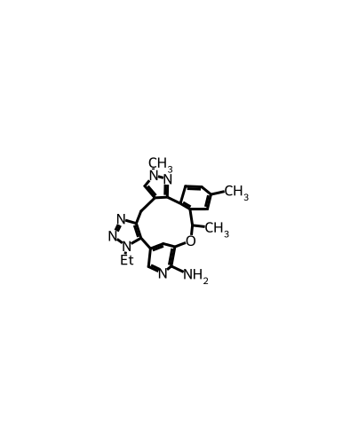 CCn1nnc2c1-c1cnc(N)c(c1)OC(C)c1cc(C)ccc1-c1nn(C)cc1C2